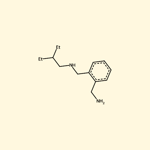 CCC(CC)CNCc1ccccc1CN